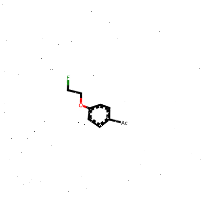 CC(=O)c1ccc(OCCF)cc1